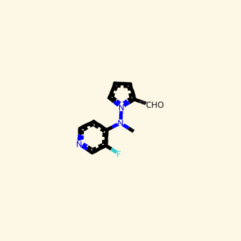 CN(c1ccncc1F)n1cccc1C=O